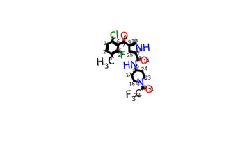 Cc1ccc(Cl)c(C(=O)c2c[nH]c(C(=O)NC3CCN(C(=O)C(F)(F)F)CC3)c2)c1F